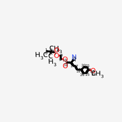 CCC(C)(C)C(=O)OCCOC(=O)/C(C#N)=C/C=C/c1ccc(OC)cc1